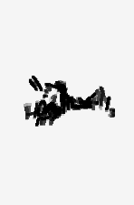 CCC[C@@H](CCO)Nc1cc(N)ccc1OCc1cccc(C)n1